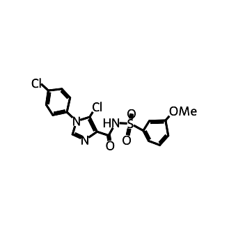 COc1cccc(S(=O)(=O)NC(=O)c2ncn(-c3ccc(Cl)cc3)c2Cl)c1